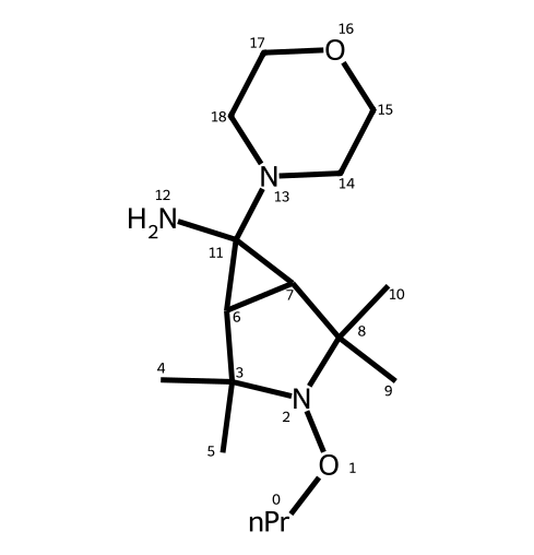 CCCON1C(C)(C)C2C(C1(C)C)C2(N)N1CCOCC1